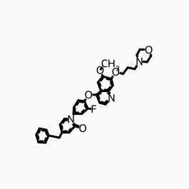 COc1cc2c(Oc3ccc(-n4ccc(Cc5ccccc5)cc4=O)cc3F)ccnc2cc1OCCCN1CCOCC1